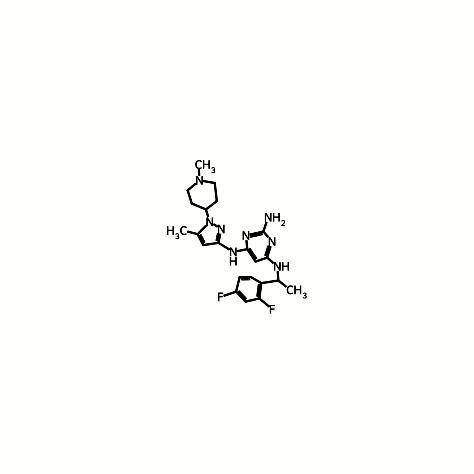 Cc1cc(Nc2cc(NC(C)c3ccc(F)cc3F)nc(N)n2)nn1C1CCN(C)CC1